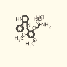 COc1cc(OC)c(CNC2CCCNC2c2ccccc2)c(OCC(N)=O)c1.Cl.Cl